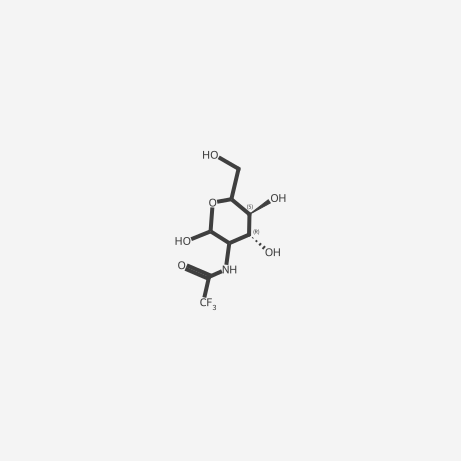 O=C(NC1C(O)OC(CO)[C@@H](O)[C@@H]1O)C(F)(F)F